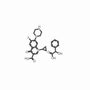 O=C(O)C(O)c1ccccc1.O=C(O)c1cn(C2CC2)c2cc(N3CCNCC3)c(F)cc2c1=O